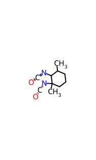 CC1CCCC(C)(N=C=O)C1N=C=O